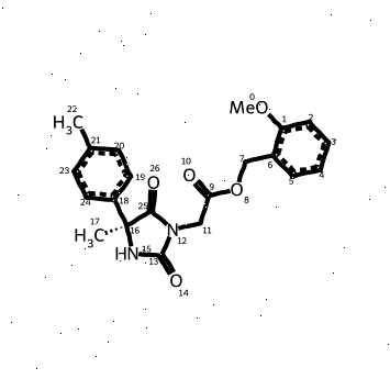 COc1ccccc1COC(=O)CN1C(=O)N[C@@](C)(c2ccc(C)cc2)C1=O